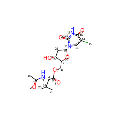 CC(=O)N[C@H](C(=O)OC[C@H]1O[C@@H](n2cc(F)c(=O)[nH]c2=O)C[C@@H]1O)C(C)C